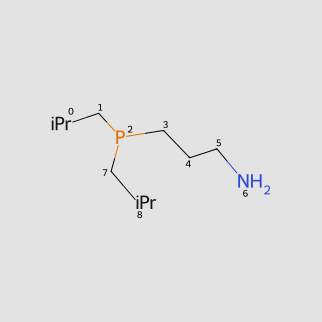 CC(C)CP(CCCN)CC(C)C